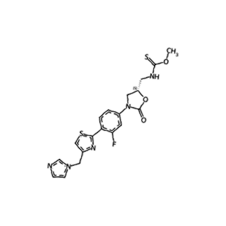 COC(=S)NC[C@H]1CN(c2ccc(-c3nc(Cn4ccnc4)cs3)c(F)c2)C(=O)O1